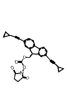 O=C(OCC1c2cc(C#CC3CC3)ccc2-c2ccc(C#CC3CC3)cc21)ON1C(=O)CCC1=O